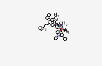 C=C(/C=C\C=C(/C)c1cccc2c1c1ccc(-c3ccccc3)cc1n2-c1ccccc1)N(/C=C/C=C(\C=C/C)c1ccc(-c2cccc3ccccc23)cc1)C(/C=C\C(C)c1ccc(/C(C)=C/C=C\CCC/C=C\C)cc1)=C/C